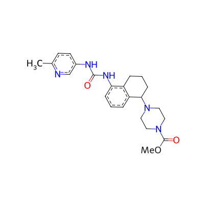 COC(=O)N1CCN(C2CCCc3c(NC(=O)Nc4ccc(C)nc4)cccc32)CC1